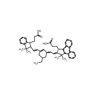 CCC1CC(/C=C/C2N(CCC(=O)O)c3ccccc3C2(C)C)=CC(=C/C=C2\N(CCC(=O)O)c3c(c4ccccc4c4ccccc34)C2(C)C)/C1